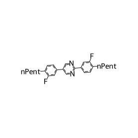 CCCCCc1ccc(-c2cnc(-c3ccc(CCCCC)c(F)c3)nc2)cc1F